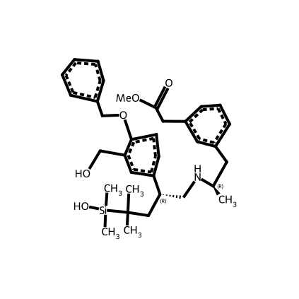 COC(=O)Cc1cccc(C[C@@H](C)NC[C@H](CC(C)(C)[Si](C)(C)O)c2ccc(OCc3ccccc3)c(CO)c2)c1